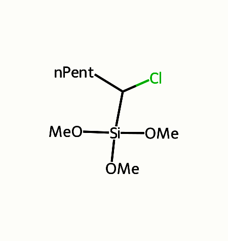 CCCCCC(Cl)[Si](OC)(OC)OC